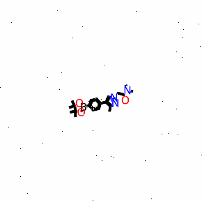 Cc1nn(CC(=O)N(C)C)cc1-c1ccc(B2OC(C)(C)C(C)(C)O2)cc1